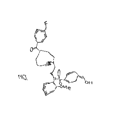 COc1ccccc1N(CCN1CCC(C(=O)c2ccc(F)cc2)CC1)S(=O)(=O)C1=CCC(=NO)C=C1.Cl